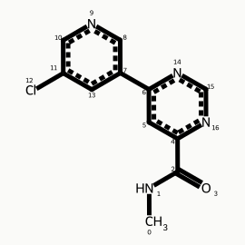 CNC(=O)c1cc(-c2cncc(Cl)c2)ncn1